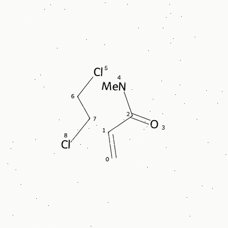 C=CC(=O)NC.ClCCCl